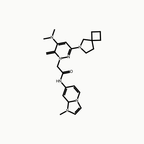 C=C1C(N(C)C)=CC(N2CCC3(CCC3)C2)=NN1CC(=O)NC1=CC2N(C)C=CN2C=C1